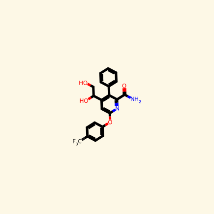 NC(=O)c1nc(Oc2ccc(C(F)(F)F)cc2)cc(C(O)CO)c1-c1ccccc1